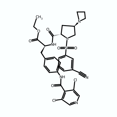 CCOC(=O)[C@H](Cc1ccc(NC(=O)c2c(Cl)cncc2Cl)cc1)NC(=O)[C@@H]1C[C@@H](N2CCC2)CN1S(=O)(=O)c1cccc(C#N)c1